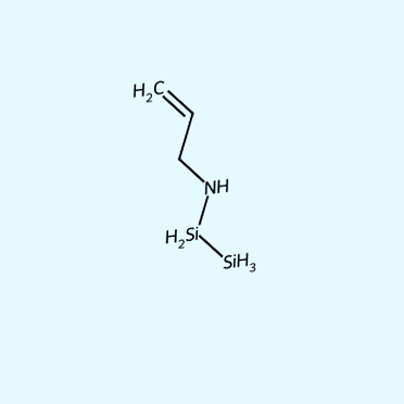 C=CCN[SiH2][SiH3]